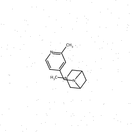 Cc1cc(CN2C3CC2CN(C)C3)ccn1